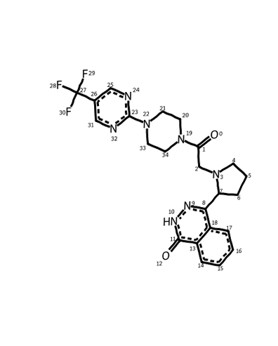 O=C(CN1CCCC1c1n[nH]c(=O)c2ccccc12)N1CCN(c2ncc(C(F)(F)F)cn2)CC1